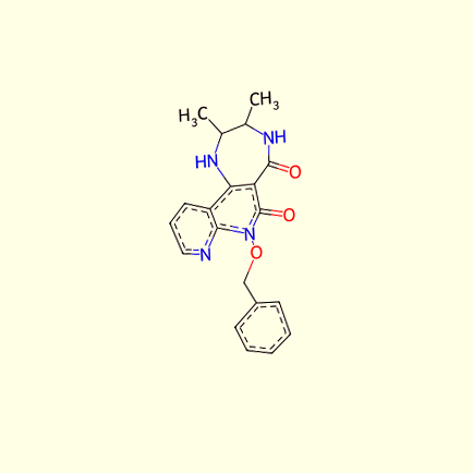 CC1NC(=O)c2c(c3cccnc3n(OCc3ccccc3)c2=O)NC1C